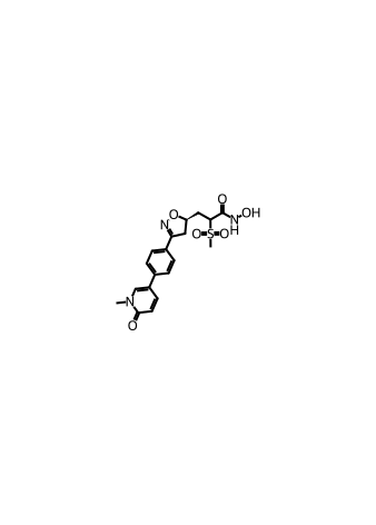 Cn1cc(-c2ccc(C3=NO[C@@H](CC(C(=O)NO)S(C)(=O)=O)C3)cc2)ccc1=O